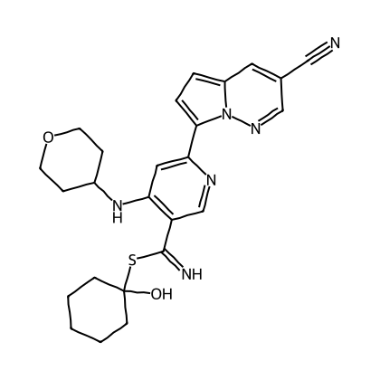 N#Cc1cnn2c(-c3cc(NC4CCOCC4)c(C(=N)SC4(O)CCCCC4)cn3)ccc2c1